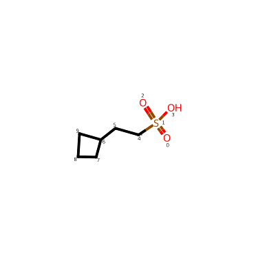 O=S(=O)(O)[CH]CC1CCC1